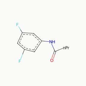 CCCC(=O)Nc1cc(F)cc(F)c1